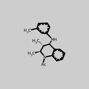 CC(=O)N1c2ccccc2[C@H](Nc2cccc(C)c2)[C@@H](C)[C@@H]1C